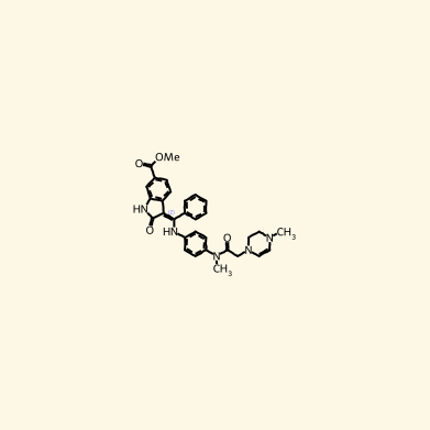 COC(=O)c1ccc2c(c1)NC(=O)/C2=C(\Nc1ccc(N(C)C(=O)CN2C=CN(C)CC2)cc1)c1ccccc1